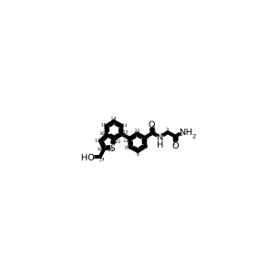 NC(=O)CNC(=O)c1cccc(-c2cccc3cc(CO)sc23)c1